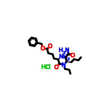 CCCC[C@@H](CC(N)=O)N(CCC)C(=O)[C@@H](N)CCCC(=O)OCc1ccccc1.Cl